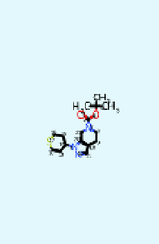 CC(C)(C)OC(=O)N1CCc2cnn(C3CCSCC3)c2C1